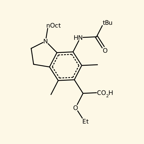 CCCCCCCCN1CCc2c(C)c(C(OCC)C(=O)O)c(C)c(NC(=O)C(C)(C)C)c21